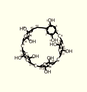 Oc1cc2c(O)cc1Cc1cc(O)c(cc1O)Cc1cc(O)c(cc1O)Cc1cc(O)c(cc1O)Cc1cc(O)c(cc1O)C2